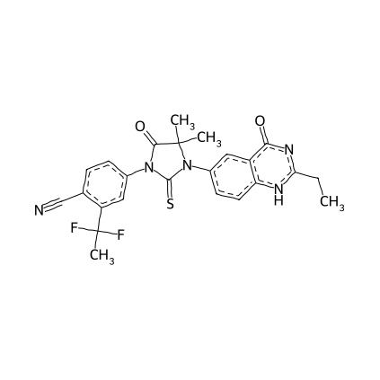 CCc1nc(=O)c2cc(N3C(=S)N(c4ccc(C#N)c(C(C)(F)F)c4)C(=O)C3(C)C)ccc2[nH]1